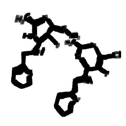 Cc1nc(=NN)c(F)c(NCc2ccccn2)[nH]1.Cc1nc(Cl)c(F)c(NCc2ccccn2)n1